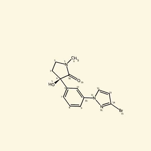 CN1CC[C@@](O)(c2cccc(-n3ccc(Br)n3)c2)C1=O